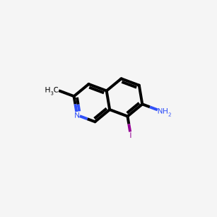 Cc1cc2ccc(N)c(I)c2cn1